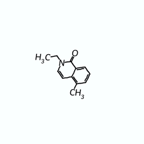 CCn1ccc2c(C)cccc2c1=O